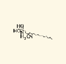 CCCCCCCCCCc1cc(CCC(N)(CO)CO)on1